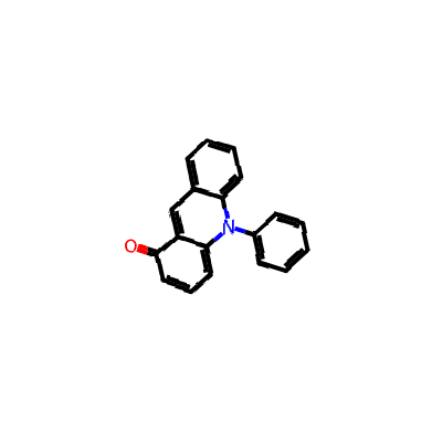 O=c1cccc2n(-c3ccccc3)c3ccccc3cc1-2